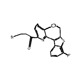 O=C(CBr)c1ccc2c(n1)-c1c(sc3c(F)cccc13)CO2